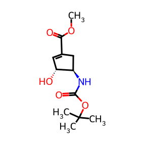 COC(=O)C1=C[C@@H](O)[C@H](NC(=O)OC(C)(C)C)C1